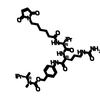 CC(C)[C@H](NC(=O)CCCCCN1C(=O)C=CC1=O)C(=O)N[C@@H](CCCNC(N)=O)C(=O)Nc1ccc(COC(=O)N(C)[C@H](C)C(C)C)cc1